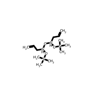 C=CC[SiH](O[SiH](CC=C)O[Si](C)(C)C)O[Si](C)(C)C